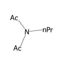 [CH2]CCN(C(C)=O)C(C)=O